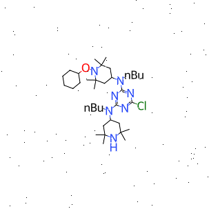 CCCCN(c1nc(Cl)nc(N(CCCC)C2CC(C)(C)N(OC3CCCCC3)C(C)(C)C2)n1)C1CC(C)(C)NC(C)(C)C1